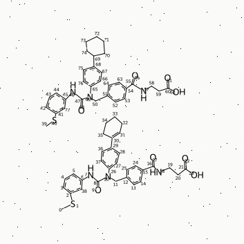 CSc1cccc(NC(=O)N(Cc2ccc(C(=O)NCCC(=O)O)cc2)c2ccc(C3=CCCCC3)cc2)c1.CSc1cccc(NC(=O)N(Cc2ccc(C(=O)NCCC(=O)O)cc2)c2ccc(C3CCCCC3)cc2)c1